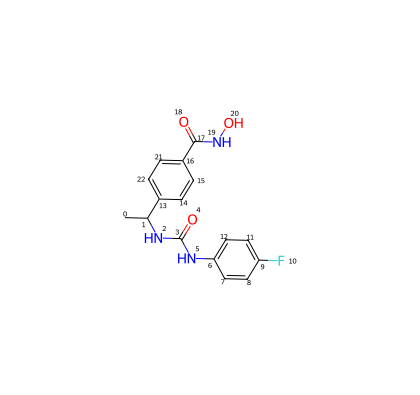 CC(NC(=O)Nc1ccc(F)cc1)c1ccc(C(=O)NO)cc1